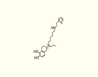 CCCN(CCCCCCNCCc1cccs1)[C@H]1CCc2c(ccc(O)c2O)C1